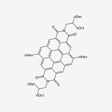 CCCCCCCCCCC(CCCCCCCC)Cn1c(=O)c2cc3cc(CCCCCC)c4cc5c(=O)n(CC(CCCCCCCC)CCCCCCCCCC)c(=S)c6cc7cc(CCCCCC)c8cc(c1=O)c2c1c3c4c(c56)c7c81